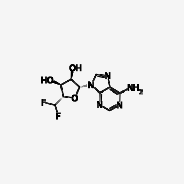 Nc1ncnc2c1ncn2[C@@H]1O[C@H](C(F)F)[C@@H](O)[C@H]1O